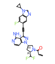 C=CC(=O)N1C[C@@H](n2nc(C#Cc3cc4ncn(C5CC5)c4cc3F)c3c(N)nccc32)C[C@@H]1C(F)F